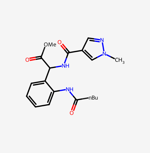 CCCCC(=O)Nc1ccccc1C(NC(=O)c1cnn(C)c1)C(=O)OC